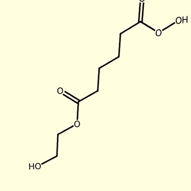 O=C(CCCCC(=O)OCCO)OO